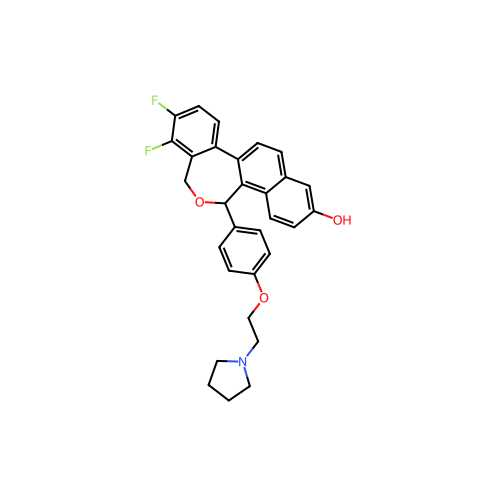 Oc1ccc2c3c(ccc2c1)-c1ccc(F)c(F)c1COC3c1ccc(OCCN2CCCC2)cc1